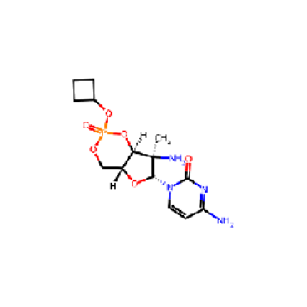 C[C@@]1(N)[C@@H]2OP(=O)(OC3CCC3)OC[C@H]2O[C@H]1n1ccc(N)nc1=O